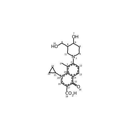 Cc1c(N2CCC(O)C(CO)C2)ccc2c(=O)c(C(=O)O)cn(C3CC3)c12